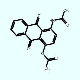 O=C1c2ccccc2C(=O)c2c(OC(=O)C(F)(F)F)ccc(NC(=O)C(F)(F)F)c21